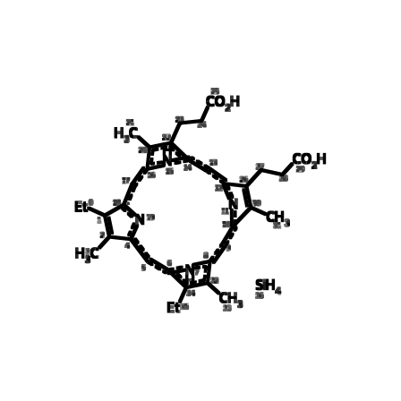 CCC1=C(C)c2cc3[nH]c(cc4nc(cc5[nH]c(cc1n2)c(C)c5CCC(=O)O)C(CCC(=O)O)=C4C)c(C)c3CC.[SiH4]